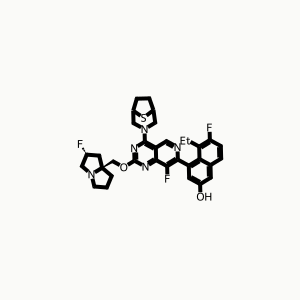 CCc1c(F)ccc2cc(O)cc(-c3ncc4c(N5CC6CCC(C5)S6)nc(OC[C@@]56CCCN5C[C@H](F)C6)nc4c3F)c12